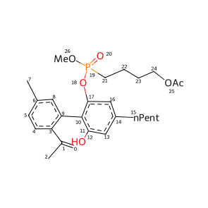 C=C(C)c1ccc(C)cc1-c1c(O)cc(CCCCC)cc1OP(=O)(CCCCOC(C)=O)OC